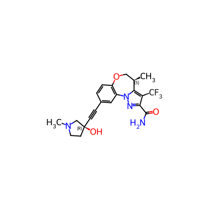 C[C@@H]1COc2ccc(C#C[C@]3(O)CCN(C)C3)cc2-n2nc(C(N)=O)c(C(F)(F)F)c21